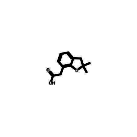 CC1(C)Cc2cccc(CC(=O)O)c2O1